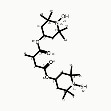 CC(CC(=O)OC1CC(C)(C)N(S)C(C)(C)C1)C(=O)OC1CC(C)(C)N(O)C(C)(C)C1